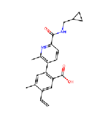 C=Cc1cc(C(=O)O)c(-c2ccc(C(=O)NCC3CC3)nc2C)cc1C